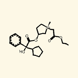 CCOC(=O)C[N@@+]1(C)CC[C@H](OC(=O)[C@@](O)(c2ccccc2)C2CCCC2)C1